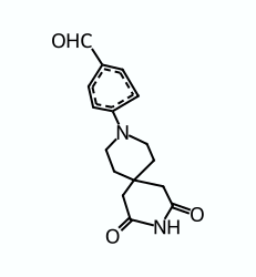 O=Cc1ccc(N2CCC3(CC2)CC(=O)NC(=O)C3)cc1